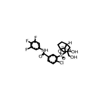 O=C(Nc1cc(F)c(F)c(F)c1)c1ccc(Cl)c(S(=O)(=O)C[C@H]2C3CC[C@H]2C[C@](O)(CO)C3)c1